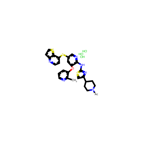 CC(=O)N1CCC(c2csc(Nc3ncc(Sc4ccnc5ccsc45)cc3Oc3cccnc3C)n2)CC1.Cl.Cl.Cl